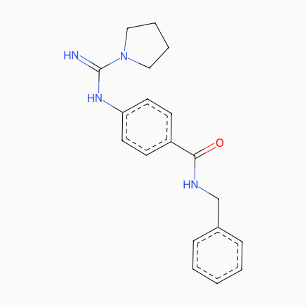 N=C(Nc1ccc(C(=O)NCc2ccccc2)cc1)N1CCCC1